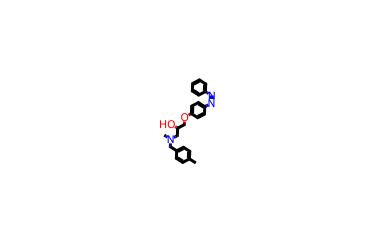 Cc1ccc(CN(C)CC(O)COc2ccc(/N=N\c3ccccc3)cc2)cc1